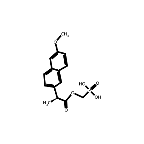 COc1ccc2cc([C@H](C)C(=O)OCP(=O)(O)O)ccc2c1